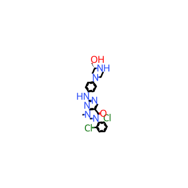 CN1CN(c2c(Cl)cccc2Cl)C(=O)c2cnc(Nc3ccc(N4CCN[C@@H](CO)C4)cc3)nc21